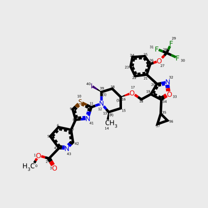 COC(=O)c1ccc(-c2csc(N3[C@H](C)C[C@H](OCc4c(-c5ccccc5OC(F)(F)F)noc4C4CC4)C[C@@H]3I)n2)cn1